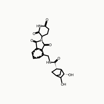 O=C1CCC(N2C(=O)c3cccc(CNC(=O)[C@H]4CC5CC4[C@H](O)C5O)c3C2=O)C(=O)N1